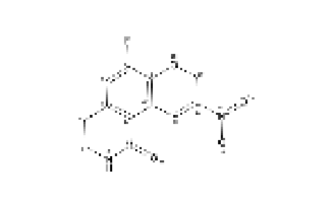 O=C1NCCc2cc(F)c3c(c21)C=C([N+](=O)[O-])CO3